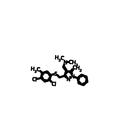 C=c1c(=CN(C)C)c(CSc2cc(C)c(Cl)cc2Cl)nn1-c1ccccc1